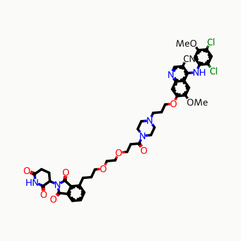 COc1cc(Nc2c(C#N)cnc3cc(OCCCN4CCN(C(=O)CCOCCOCCCc5cccc6c5C(=O)N(C5CCC(=O)NC5=O)C6=O)CC4)c(OC)cc23)c(Cl)cc1Cl